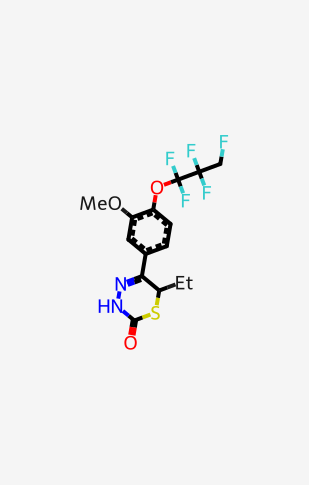 CCC1SC(=O)NN=C1c1ccc(OC(F)(F)C(F)(F)CF)c(OC)c1